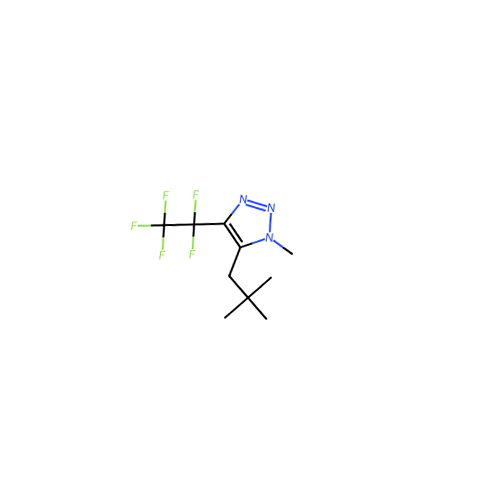 Cn1nnc(C(F)(F)C(F)(F)F)c1CC(C)(C)C